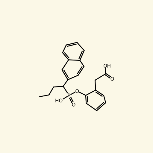 CCCC(c1ccc2ccccc2c1)P(=O)(O)Oc1ccccc1CC(=O)O